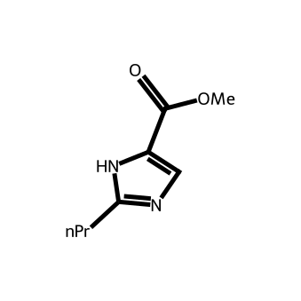 CCCc1ncc(C(=O)OC)[nH]1